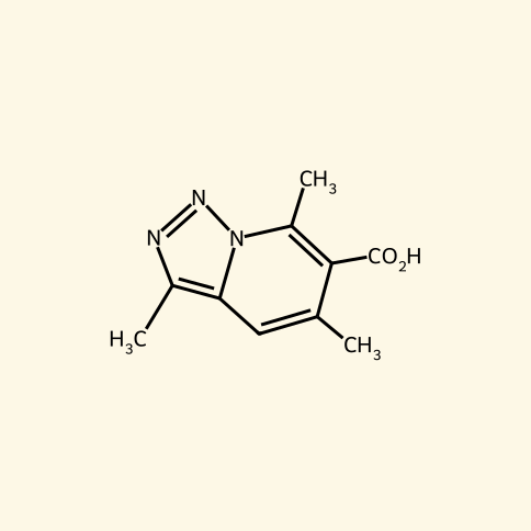 Cc1cc2c(C)nnn2c(C)c1C(=O)O